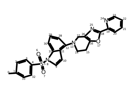 Cc1ccc(S(=O)(=O)n2ccc3c(N4CCc5oc(-c6ccccn6)nc5C4)cccc32)cc1